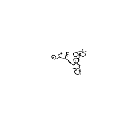 COCc1ccc(F)c(C#Cc2cc(Cl)ccc2OCC(=O)OC(C)(C)C)c1